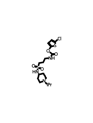 CC(C)N1CCC(NS(=O)(=O)CCCNC(=O)Oc2ccc(Cl)s2)CC1